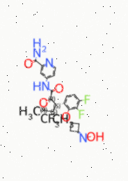 C[C@H]1[C@@H](c2ccc(F)c(F)c2OC2CC(=NO)C2)[C@H](C(=O)Nc2ccnc(C(N)=O)c2)O[C@@]1(C)C(F)(F)F